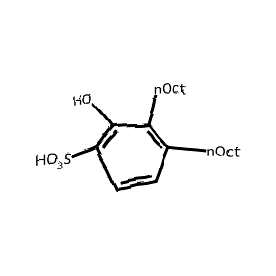 CCCCCCCCc1ccc(S(=O)(=O)O)c(O)c1CCCCCCCC